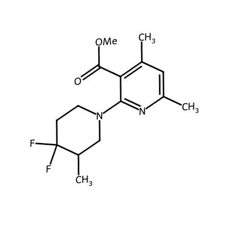 COC(=O)c1c(C)cc(C)nc1N1CCC(F)(F)C(C)C1